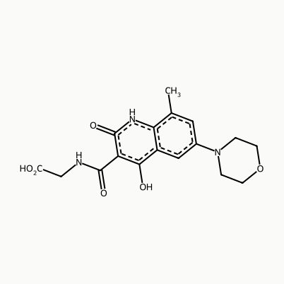 Cc1cc(N2CCOCC2)cc2c(O)c(C(=O)NCC(=O)O)c(=O)[nH]c12